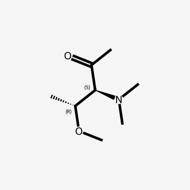 CO[C@H](C)[C@@H](C(C)=O)N(C)C